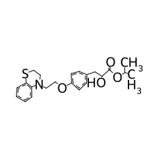 CC(C)OC(=O)C(O)Cc1ccc(OCCN2CCSc3ccccc32)cc1